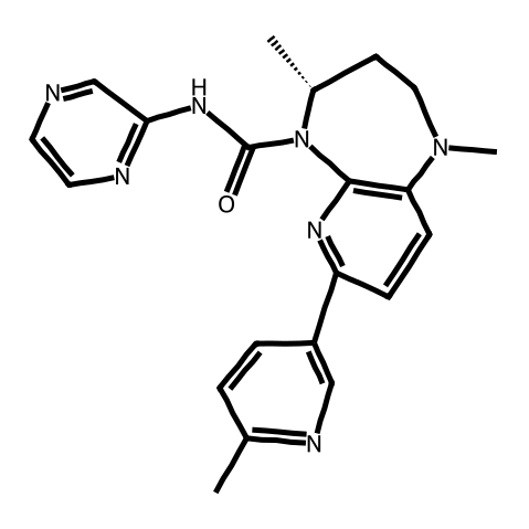 Cc1ccc(-c2ccc3c(n2)N(C(=O)Nc2cnccn2)[C@H](C)CCN3C)cn1